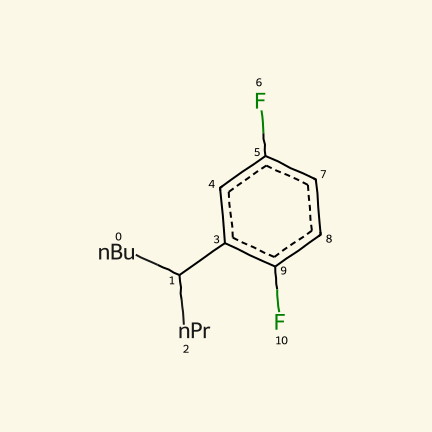 CCCCC(CCC)c1cc(F)ccc1F